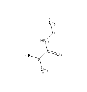 CC(F)C(=O)NCC(F)(F)F